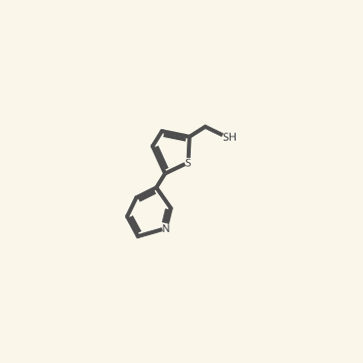 SCc1ccc(-c2cccnc2)s1